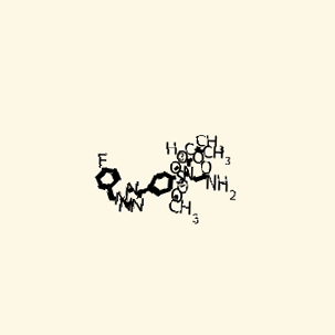 COc1cc(-c2nnn(Cc3ccc(F)cc3)n2)ccc1S(=O)(=O)N(CC(N)=O)C(=O)OC(C)(C)C